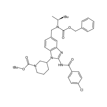 C[C@H](N(Cc1ccc2c(c1)nc(NC(=O)c1ccc(Cl)cc1)n2C1CCCN(C(=O)OC(C)(C)C)C1)C(=O)OCc1ccccc1)C(C)(C)C